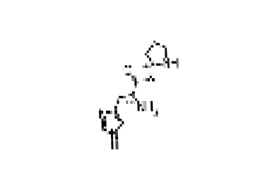 N[C@@H](Cc1c[nH]cn1)C(=O)[CH][C@@H]1CCCN1